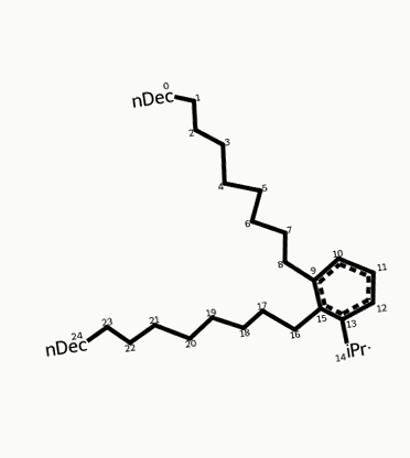 CCCCCCCCCCCCCCCCCCc1cccc([C](C)C)c1CCCCCCCCCCCCCCCCCC